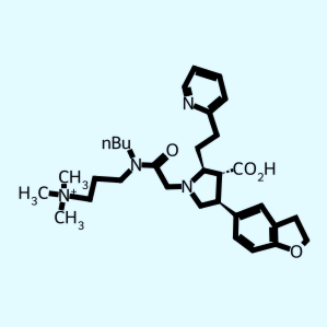 CCCCN(CCC[N+](C)(C)C)C(=O)CN1C[C@H](c2ccc3c(c2)CCO3)[C@@H](C(=O)O)[C@@H]1CCc1ccccn1